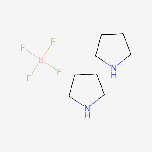 C1CCNC1.C1CCNC1.F[B-](F)(F)F